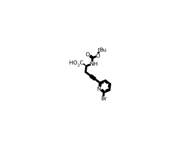 CC(C)(C)OC(=O)N[C@@H](CC#Cc1cccc(Br)n1)C(=O)O